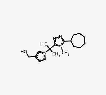 Cn1c(C2CCCCCC2)nnc1C(C)(C)n1ccc(CO)c1